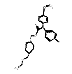 O=C(O)COC[C@H]1CC[C@H](COC(=O)N(c2ccc(F)cc2)c2ccc(OC(F)(F)F)cc2)CC1